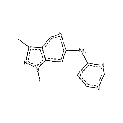 Cc1nn(C)c2cc(Nc3ccncn3)ncc12